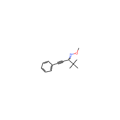 CON=C(C#Cc1ccccc1)C(C)(C)C